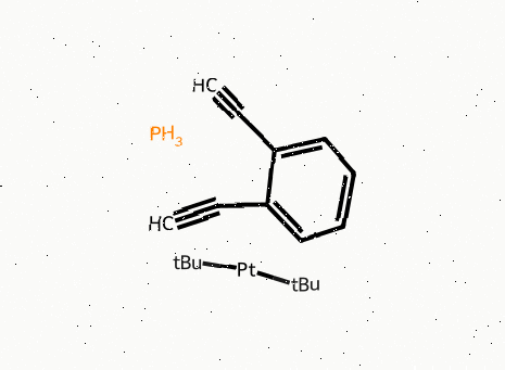 C#Cc1ccccc1C#C.C[C](C)(C)[Pt][C](C)(C)C.P